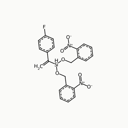 C=C(c1ccc(F)cc1)[SiH](OCc1ccccc1[N+](=O)[O-])OCc1ccccc1[N+](=O)[O-]